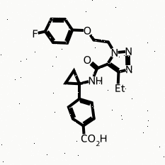 CCc1nnn(CCOc2ccc(F)cc2)c1C(=O)NC1(c2ccc(C(=O)O)cc2)CC1